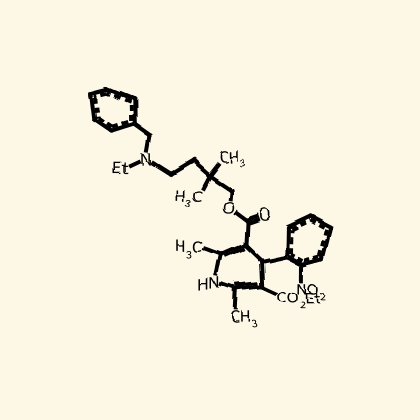 CCOC(=O)C1=C(C)NC(C)=C(C(=O)OCC(C)(C)CCN(CC)Cc2ccccc2)C1c1ccccc1[N+](=O)[O-]